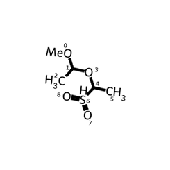 COC(C)OC(C)[SH](=O)=O